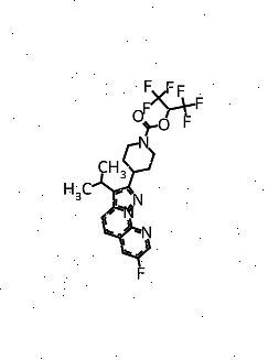 CC(C)c1c(C2CCN(C(=O)OC(C(F)(F)F)C(F)(F)F)CC2)nn2c1ccc1cc(F)cnc12